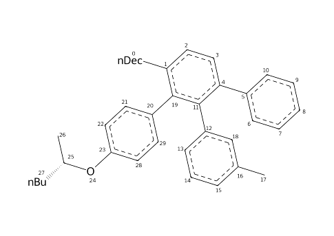 CCCCCCCCCCc1ccc(-c2ccccc2)c(-c2cccc(C)c2)c1-c1ccc(O[C@@H](C)CCCC)cc1